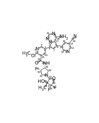 COc1ncc(-c2cc(-c3cncc(C#N)c3)c3c(N)ncnn23)cc1C(=O)N[C@@H]1CN(C(=O)[C@@](C)(O)C(F)(F)F)C[C@@H]1F